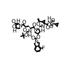 C=CC1C[C@]1(NC(=O)[C@@H]1CC(OC(=O)N2Cc3cccc(F)c3C2)CN1C(=O)[C@H](CCC(=O)N1C[C@@H]2C[C@H]1C(=O)O2)NC(=O)OC(C)(C)C)C(=O)NS(=O)(=O)C1CC1